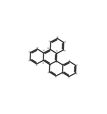 [c]1cc2ccccc2c2c1c1ccccc1c1ccccc12